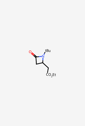 CCOC(=O)CC1CC(=O)N1C(C)(C)C